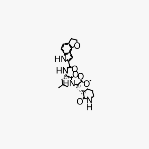 COC(=O)[C@H](C[C@@H]1CCCNC1=O)NC(=O)[C@H](CC(C)C)NC(=O)c1cc2c3c(ccc2[nH]1)CCO3